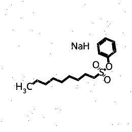 CCCCCCCCCS(=O)(=O)Oc1ccccc1.[NaH]